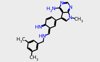 Cc1cc(C)cc(CN/C=C2/C=C(c3cn(C)c4ncnc(N)c34)C=CC2=N)c1